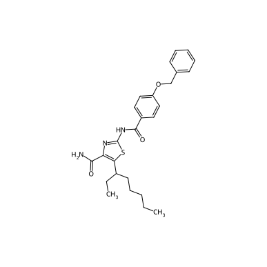 CCCCCC(CC)c1sc(NC(=O)c2ccc(OCc3ccccc3)cc2)nc1C(N)=O